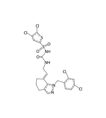 O=C(NCC=C1CCCc2cnn(Cc3ccc(Cl)cc3Cl)c21)NS(=O)(=O)c1cc(Cl)c(Cl)s1